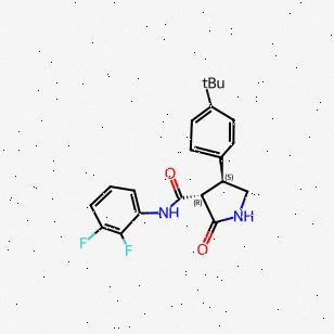 CC(C)(C)c1ccc([C@H]2CNC(=O)[C@@H]2C(=O)Nc2cccc(F)c2F)cc1